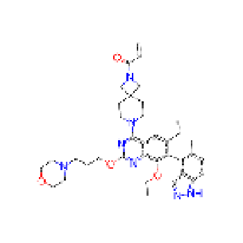 C=CC(=O)N1CC2(CCN(c3nc(OCCCN4CCOCC4)nc4c(OCC)c(-c5c(C)ccc6[nH]ncc56)c(C=C)cc34)CC2)C1